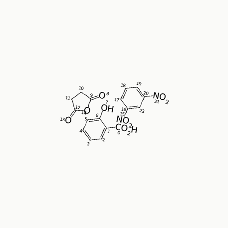 O=C(O)c1ccccc1O.O=C1CCC(=O)O1.O=[N+]([O-])c1cccc([N+](=O)[O-])c1